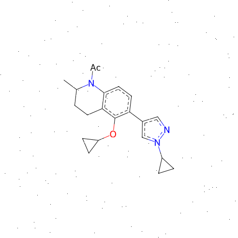 CC(=O)N1c2ccc(-c3cnn(C4CC4)c3)c(OC3CC3)c2CCC1C